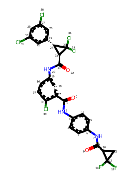 O=C(Nc1ccc(NC(=O)C2CC2(F)F)cc1)c1cc(NC(=O)[C@H]2[C@H](c3cc(Cl)cc(Cl)c3)C2(Cl)Cl)ccc1Cl